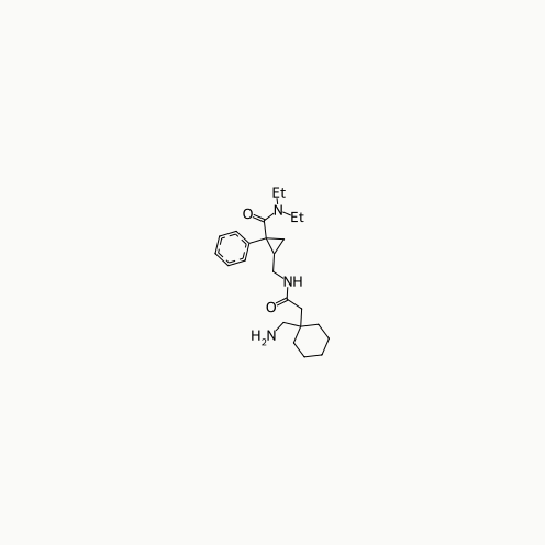 CCN(CC)C(=O)C1(c2ccccc2)CC1CNC(=O)CC1(CN)CCCCC1